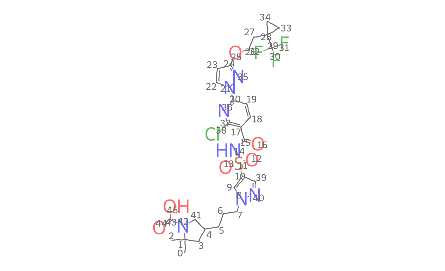 CC1(C)CC(CCCn2cc(S(=O)(=O)NC(=O)c3ccc(-n4ccc(OCCC5(C(F)(F)F)CC5)n4)nc3Cl)cn2)CN1C(=O)O